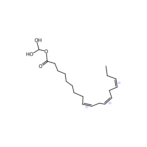 CC/C=C\C/C=C\C/C=C\CCCCCCCC(=O)OC(O)O